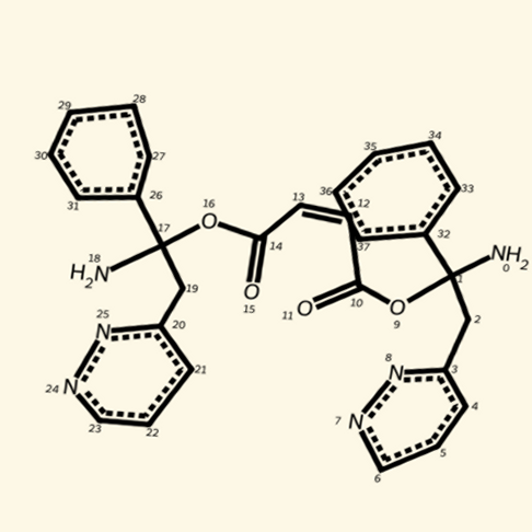 NC(Cc1cccnn1)(OC(=O)/C=C\C(=O)OC(N)(Cc1cccnn1)c1ccccc1)c1ccccc1